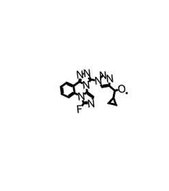 COC(c1cn(-c2nnc3c4ccccc4n4c(F)ncc4n23)nn1)C1CC1